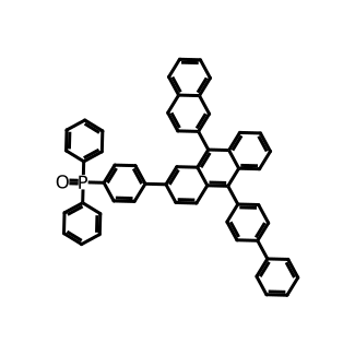 O=P(c1ccccc1)(c1ccccc1)c1ccc(-c2ccc3c(-c4ccc(-c5ccccc5)cc4)c4ccccc4c(-c4ccc5ccccc5c4)c3c2)cc1